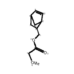 COCC(=O)OCC1CC2C=CC1C2